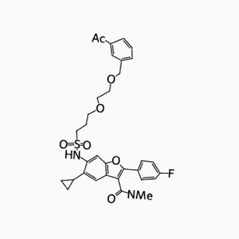 CNC(=O)c1c(-c2ccc(F)cc2)oc2cc(NS(=O)(=O)CCCOCCOCc3cccc(C(C)=O)c3)c(C3CC3)cc12